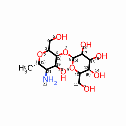 C[C@@H]1OC(CO)[C@@H](O[C@@H]2OC(CO)[C@H](O)C(O)C2O)C(O)C1N